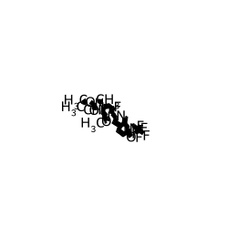 CO[n+]1cc(N(C)C(=O)OC(C)(C)C)cc(F)c1-c1cc2ccc(=O)n(CC(F)(F)C(F)(F)F)c2cn1